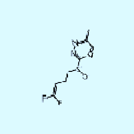 Cc1cnc([S+]([O-])CCC=C(F)F)nn1